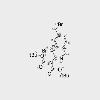 CC(C)(C)OC(=O)N(C(=O)OC(C)(C)C)c1ncc2ccc(CBr)cc2c1Br